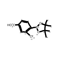 CC1(C)OB(c2ccc(C(=O)O)cc2C(F)(F)F)OC1(C)C